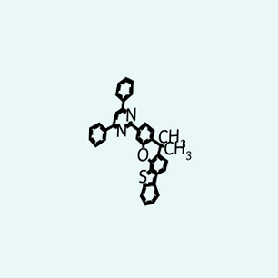 CC1(C)c2ccc(-c3nc(-c4ccccc4)cc(-c4ccccc4)n3)cc2Oc2c1ccc1c2sc2ccccc21